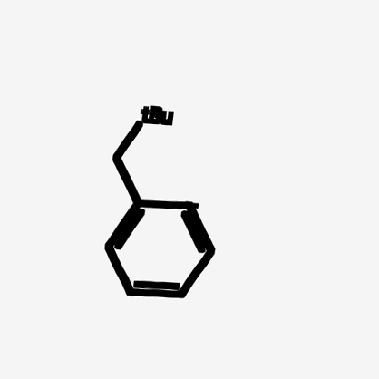 CC(C)(C)Cc1[c]cccc1